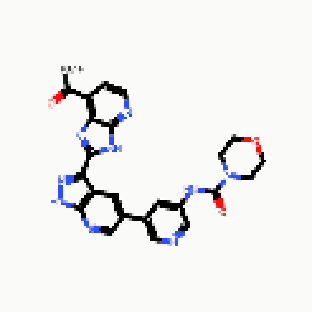 CNC(=O)c1ccnc2[nH]c(-c3n[nH]c4ncc(-c5cncc(NC(=O)N6CCOCC6)c5)cc34)nc12